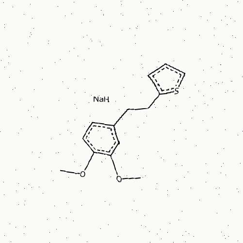 COc1ccc(CCc2cccs2)cc1OC.[NaH]